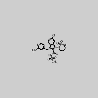 CS(=O)(=O)NC(=O)c1c(N2CCCNS2(=O)=O)c2cc(Cl)ccc2n1Cc1ccnc(N)c1